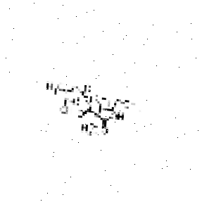 CCCC(C)[C@@](CC)(C(=O)O)C(=O)OP(=O)(OCC)OCC